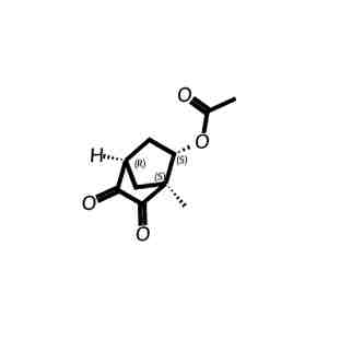 CC(=O)O[C@H]1C[C@H]2C[C@]1(C)C(=O)C2=O